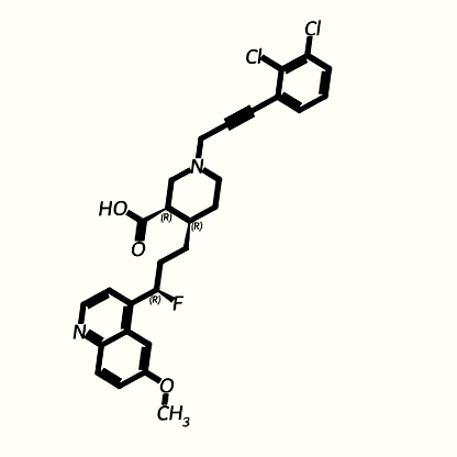 COc1ccc2nccc([C@H](F)CC[C@@H]3CCN(CC#Cc4cccc(Cl)c4Cl)C[C@@H]3C(=O)O)c2c1